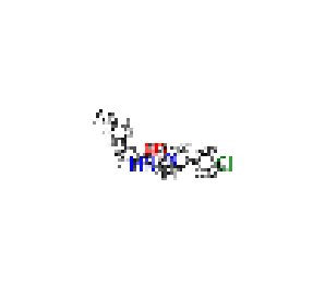 CC(=O)c1ccc(-c2cccc(C(=O)N[C@@H](C(=O)N3CCC(c4ccc(Cl)cc4)CC3)C(C)C)c2)cc1